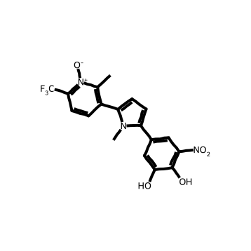 Cc1c(-c2ccc(-c3cc(O)c(O)c([N+](=O)[O-])c3)n2C)ccc(C(F)(F)F)[n+]1[O-]